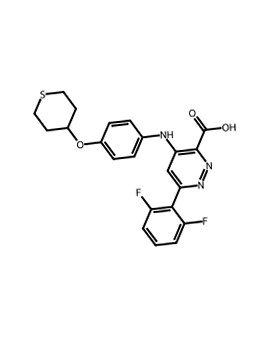 O=C(O)c1nnc(-c2c(F)cccc2F)cc1Nc1ccc(OC2CCSCC2)cc1